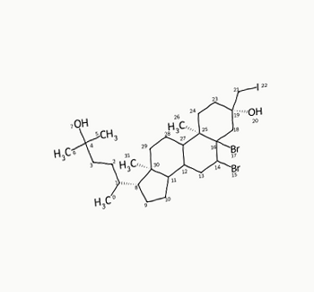 CC(CCC(C)(C)O)[C@H]1CCC2C3CC(Br)C4(Br)C[C@](O)(CI)CC[C@]4(C)C3CC[C@@]21C